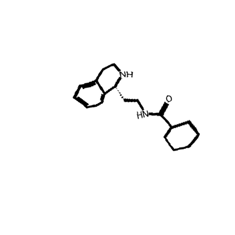 O=C(NCC[C@H]1NCCc2ccccc21)C1CCCCC1